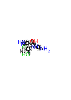 Cl.N#Cc1ccc(-c2nc(N3C=CC(N)=CC3)cc(O)c2-c2ccc3[nH]nc(Cl)c3c2)cc1F